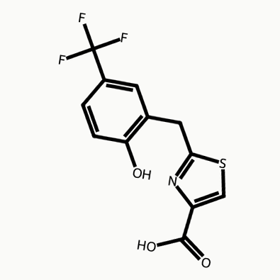 O=C(O)c1csc(Cc2cc(C(F)(F)F)ccc2O)n1